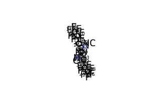 [C-]#[N+]/N=c1\c2cc(-c3c(F)c(F)c4c(F)c(F)c(F)c(F)c4c3F)ccc2c2nc3/c(=N/C#N)c4cc(-c5c(F)c(F)c6c(F)c(F)c(F)c(F)c6c5F)ccc4c3nc12